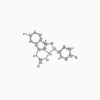 Cc1ccc2c(c1)c1c3n2CC(c2ccc(C)nc2)C3CN(C)C1